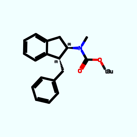 CN(C(=O)OC(C)(C)C)[C@@H]1Cc2ccccc2[C@H]1Cc1ccccc1